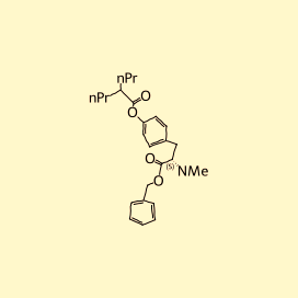 CCCC(CCC)C(=O)Oc1ccc(C[C@H](NC)C(=O)OCc2ccccc2)cc1